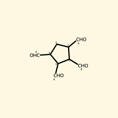 O=CC1CC(C=O)C(C=O)C1C=O